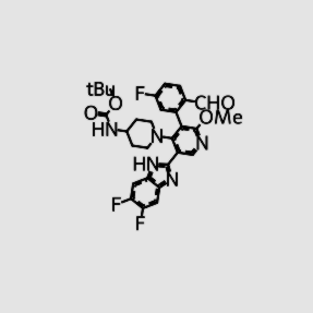 COc1ncc(-c2nc3cc(F)c(F)cc3[nH]2)c(N2CCC(NC(=O)OC(C)(C)C)CC2)c1-c1cc(F)ccc1C=O